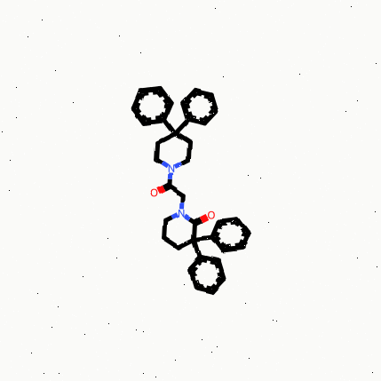 O=C(CN1CCCC(c2ccccc2)(c2ccccc2)C1=O)N1CCC(c2ccccc2)(c2ccccc2)CC1